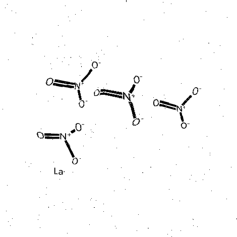 O=[N+]([O-])[O-].O=[N+]([O-])[O-].O=[N+]([O-])[O-].O=[N+]([O-])[O-].[La]